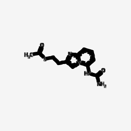 CC(=O)SCCc1cn2c(NC(N)=O)cccc2n1